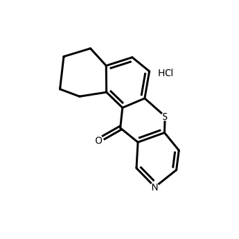 Cl.O=c1c2cnccc2sc2ccc3c(c12)CCCC3